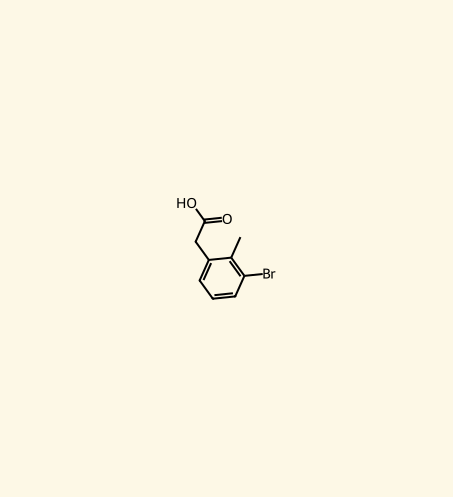 Cc1c(Br)cccc1CC(=O)O